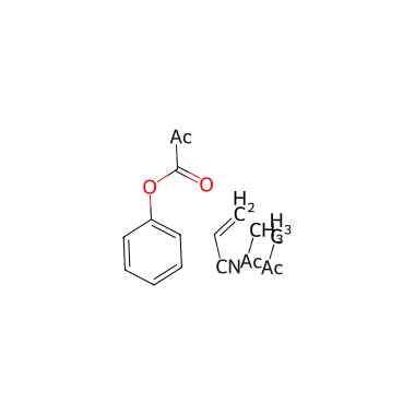 C=CC#N.CC(=O)C(=O)Oc1ccccc1.CC(C)=O.CC(C)=O